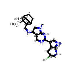 Cn1cc(/N=C\C2C3CCC(CC3)[C@@H]2C(=O)O)c2cnc(-c3c[nH]c4ncc(F)cc34)nc21